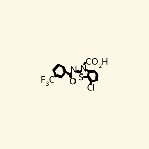 O=C(O)Cn1/c(=N/C(=O)c2cccc(C(F)(F)F)c2)sc2c(Cl)cccc21